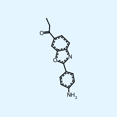 CCC(=O)c1ccc2nc(-c3ccc(N)cc3)oc2c1